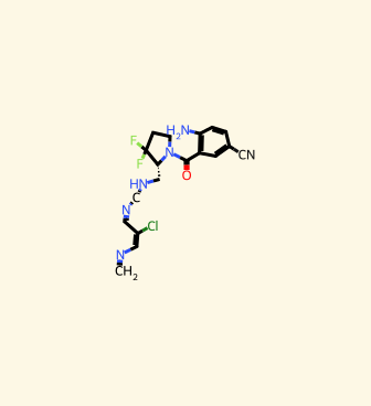 C=N/C=C(Cl)\C=N/CNC[C@H]1N(C(=O)c2cc(C#N)ccc2N)CCC1(F)F